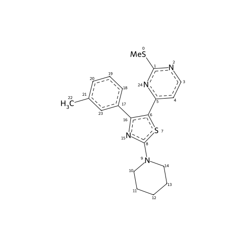 CSc1nccc(-c2sc(N3CCCCC3)nc2-c2cccc(C)c2)n1